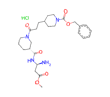 COC(=O)C[C@H](N)NC(=O)[C@@H]1CCCN(C(=O)CCC2CCN(C(=O)OCc3ccccc3)CC2)C1.Cl